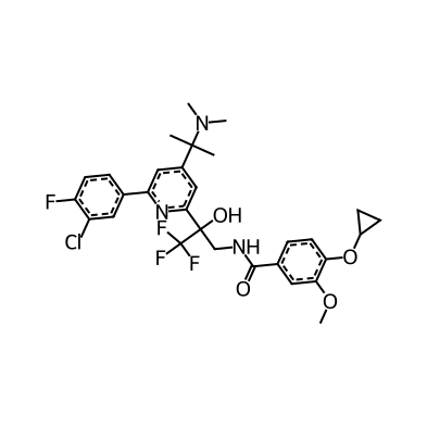 COc1cc(C(=O)NCC(O)(c2cc(C(C)(C)N(C)C)cc(-c3ccc(F)c(Cl)c3)n2)C(F)(F)F)ccc1OC1CC1